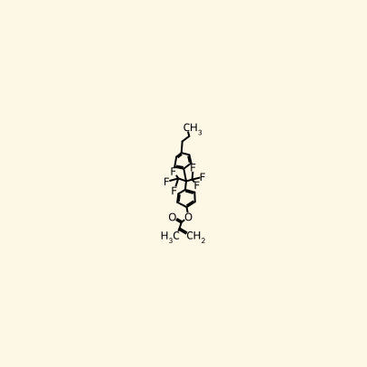 C=C(C)C(=O)Oc1ccc(C(c2ccc(CCC)cc2)(C(F)(F)F)C(F)(F)F)cc1